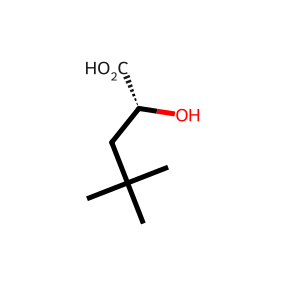 CC(C)(C)C[C@@H](O)C(=O)O